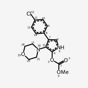 COC(=O)Oc1[nH]cc(-c2ccc(Cl)cc2)c1N1CCOCC1